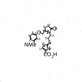 CNc1cccc(OC[C@H]2CCC(=O)N2CCSc2nc(C(=O)O)cs2)c1